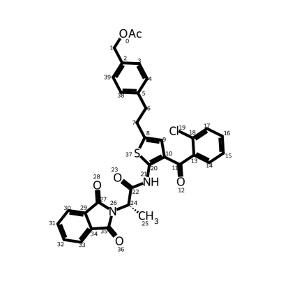 CC(=O)OCc1ccc(CCc2cc(C(=O)c3ccccc3Cl)c(NC(=O)[C@H](C)N3C(=O)c4ccccc4C3=O)s2)cc1